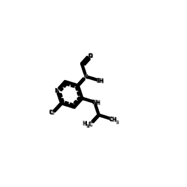 CC(C)Nc1cc(Cl)ncc1N(S)C=O